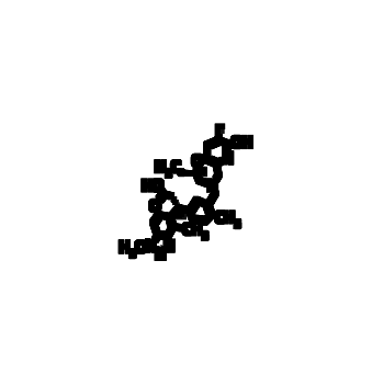 CC[C@@H]1CN(Cc2cc([C@@H](CC(=O)O)c3ccc4c(nnn4C)c3C)ccc2C)Cc2nc(O)c(F)cc2O1